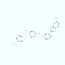 CN(C)c1ccc2[nH]c(-c3cc(NC(=O)c4ccc(S(=O)(=O)Nc5ncc(C(=O)NO)cn5)cc4Cl)ccc3Cl)nc2c1